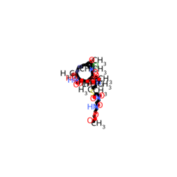 COc1cc2cc(c1Cl)N(C)C(=O)C[C@H](OC(=O)[C@H](C)N(C)C(=O)CCC(C)(C)SC1CC(=O)N(CCC(=O)NCCOCCC(C)=O)C1=O)[C@]1(C)O[C@H]1[C@H](C)[C@@H]1C[C@@](O)(NC(=O)O1)[C@H](OC)/C=C/C=C(\C)C2